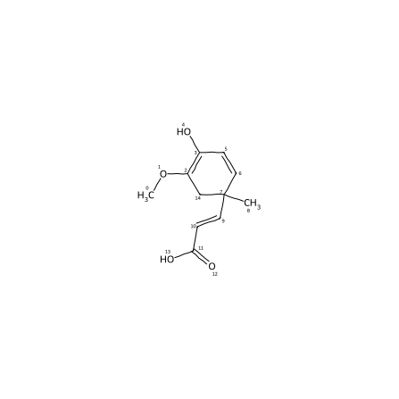 COC1=C(O)C=CC(C)(C=CC(=O)O)C1